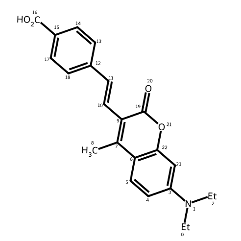 CCN(CC)c1ccc2c(C)c(/C=C/c3ccc(C(=O)O)cc3)c(=O)oc2c1